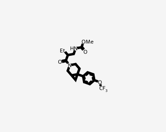 CCC(CNC(=O)OC)C(=O)N1CCC2(c3ccc(OC(F)(F)F)cc3)CC2C1